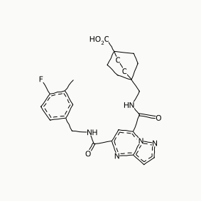 Cc1cc(CNC(=O)c2cc(C(=O)NCC34CCC(C(=O)O)(CC3)CC4)n3nccc3n2)ccc1F